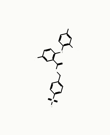 Cc1cc(I)ccc1Nc1ccc([N+](=O)[O-])cc1C(=O)NCc1ccc(S(N)(=O)=O)cc1